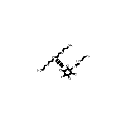 C=C.C=C.C=C.C=C.C=C.OCCO.OCCOCCOCCOCCO.Oc1c(Cl)c(Cl)c(Cl)c(Cl)c1Cl